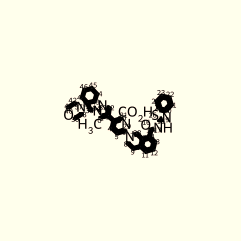 Cc1c(-c2ccc(N3CCc4cccc(C(=O)Nc5nc6ccccc6s5)c4C3)nc2C(=O)O)cnn1CC1(N2CCOCC2)CCCCC1